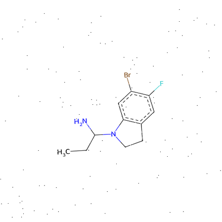 C[CH]C(N)N1CCc2cc(F)c(Br)cc21